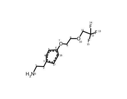 NCCc1ccc(OCCOCC(F)(F)F)cc1